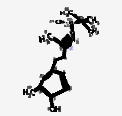 C/C(CCc1ccc(O)c(C)c1)=N\[S@+]([O-])C(C)(C)C